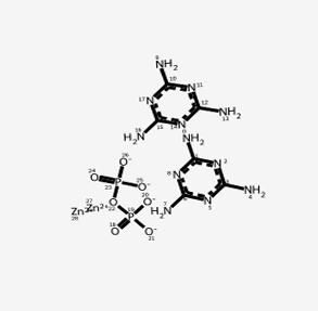 Nc1nc(N)nc(N)n1.Nc1nc(N)nc(N)n1.O=P([O-])([O-])OP(=O)([O-])[O-].[Zn+2].[Zn+2]